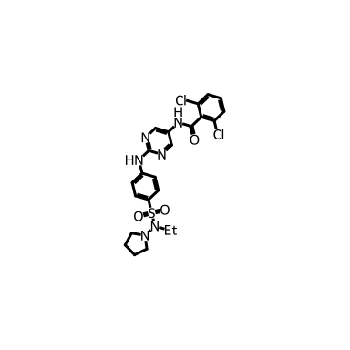 CCN(N1CCCC1)S(=O)(=O)c1ccc(Nc2ncc(NC(=O)c3c(Cl)cccc3Cl)cn2)cc1